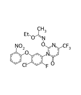 CCOC(C)=NOc1nc(C(F)(F)F)cc(=O)n1-c1cc(Oc2ccccc2[N+](=O)[O-])c(Cl)cc1F